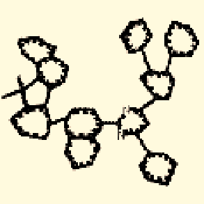 CC1(C)c2cccc(-c3ccc(-c4nc(-c5ccccc5)cc(-c5ccc(-c6ccccc6)c(-c6ccccc6)c5)n4)c4ccccc34)c2-c2ccc3ccccc3c21